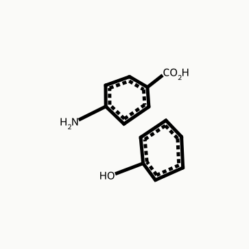 Nc1ccc(C(=O)O)cc1.Oc1ccccc1